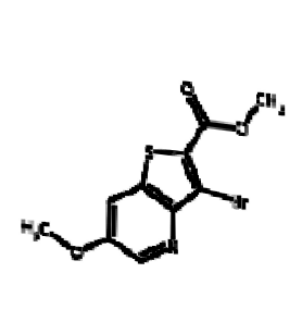 COC(=O)c1sc2cc(OC)cnc2c1Br